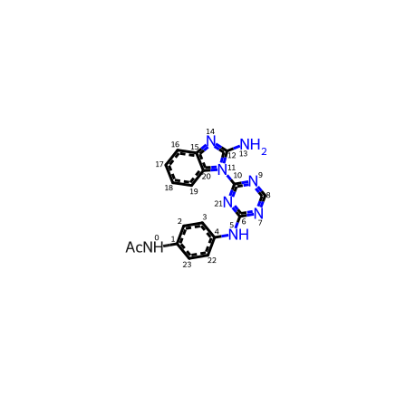 CC(=O)Nc1ccc(Nc2ncnc(-n3c(N)nc4ccccc43)n2)cc1